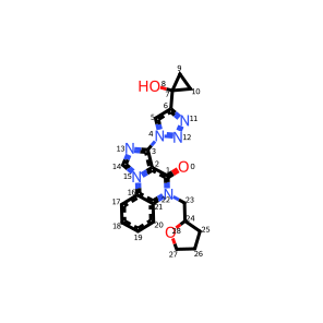 O=c1c2c(-n3cc(C4(O)CC4)nn3)ncn2c2ccccc2n1CC1CCCO1